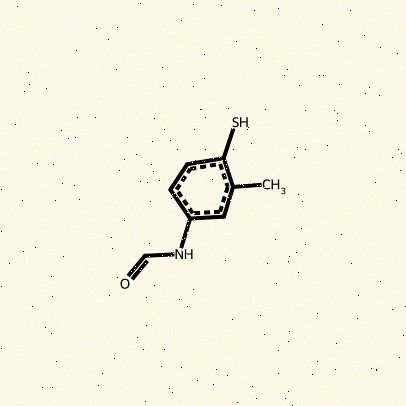 Cc1cc(NC=O)ccc1S